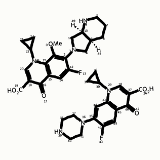 COc1c(N2C[C@@H]3CCCN[C@@H]3C2)c(F)cc2c(=O)c(C(=O)O)cn(C3CC3)c12.O=C(O)c1cn(C2CC2)c2cc(N3CCNCC3)c(F)cc2c1=O